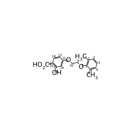 Cc1cccc(C)c1OCCOc1ccc(C(=O)O)c(O)c1